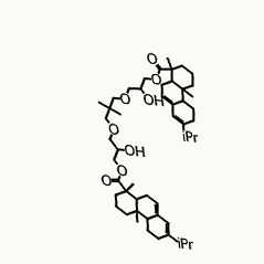 CC(C)C1=CC2=CCC3C(C)(C(=O)OCC(O)COCC(C)(C)COCC(O)COC(=O)C4(C)CCCC5(C)C6CCC(C(C)C)=CC6=CCC45)CCCC3(C)C2CC1